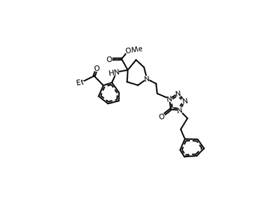 CCC(=O)c1ccccc1NC1(C(=O)OC)CCN(CCn2nnn(CCc3ccccc3)c2=O)CC1